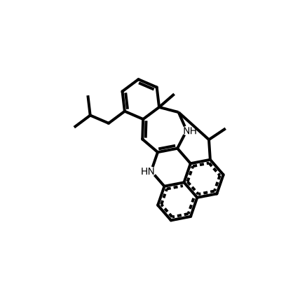 CC(C)CC1=CC=CC2(C)C1=CC1=C3NC2C(C)c2ccc4cccc(c4c23)N1